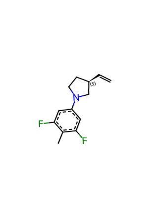 C=C[C@@H]1CCN(c2cc(F)c(C)c(F)c2)C1